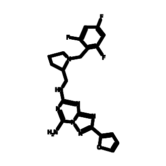 Nc1nc(NCC2CCCN2Cc2c(F)cc(F)cc2F)nc2nc(-c3ccco3)nn12